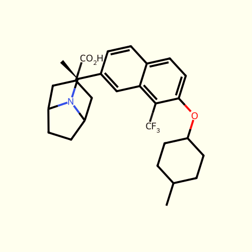 CC1CCC(Oc2ccc3ccc([C@H](C)N4C5CCC4CC(C(=O)O)C5)cc3c2C(F)(F)F)CC1